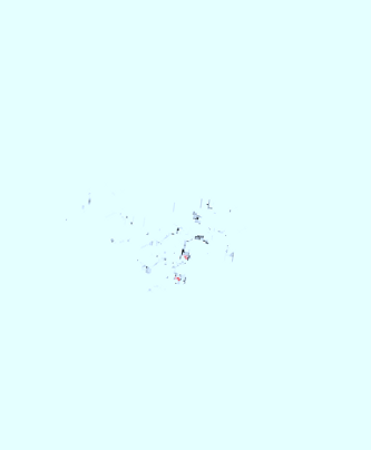 O=C(Nc1ccc(F)c(F)c1)c1ccc(Cl)c(S(=O)(=O)[C@@H]2C[C@H]3CC[C@@H](C2)[C@@]3(O)C(O)c2ccc3ccccc3n2)c1